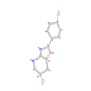 Clc1ccc(-c2nc3ncc(Cl)cc3o2)cc1